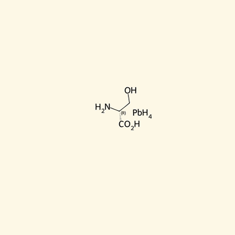 N[C@H](CO)C(=O)O.[PbH4]